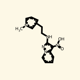 C[n+]1cccc(CCNc2nn3ccccc3c2[N+](=O)O)c1